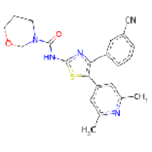 Cc1cc(-c2sc(NC(=O)N3CCCOC3)nc2-c2cccc(C#N)c2)cc(C)n1